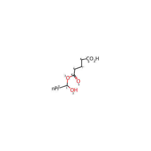 CCCC(O)OC(=O)CCCC(=O)O